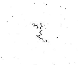 CCCCC(=O)OOCC(CC)CCCC